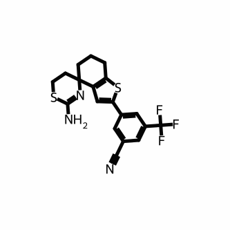 N#Cc1cc(-c2cc3c(s2)CCCC32CCSC(N)=N2)cc(C(F)(F)F)c1